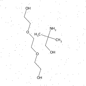 CC(C)(N)CO.OCCOCCOCCO